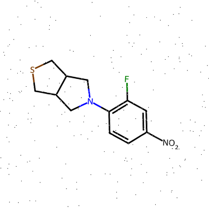 O=[N+]([O-])c1ccc(N2CC3CSCC3C2)c(F)c1